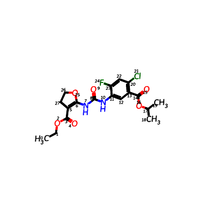 CCOC(=O)C1=C(NC(=O)Nc2cc(C(=O)OC(C)C)c(Cl)cc2F)OCC1